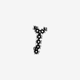 C[Si](C)(C)c1ccc2c(c1)c1cc([Si](C)(C)C)ccc1n2-c1ccc(-c2ccc(-c3ccc4c(c3)oc3ccccc34)cc2)cc1